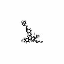 CNc1nc(N2CCC3(CC2)COC3)c(C(=O)NC2CCN(CCN3CCOCC3)CC2)cc1C=N